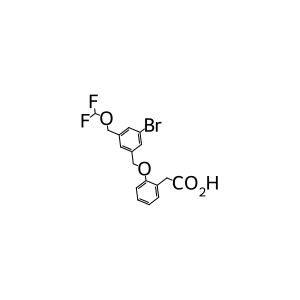 O=C(O)Cc1ccccc1OCc1cc(Br)cc(COC(F)F)c1